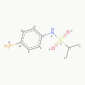 CC(C)S(=O)(=O)Nc1ccc(P)cc1